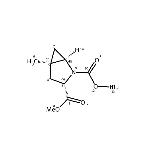 COC(=O)[C@@H]1C[C@@]2(C)C[C@H]2N1C(=O)OC(C)(C)C